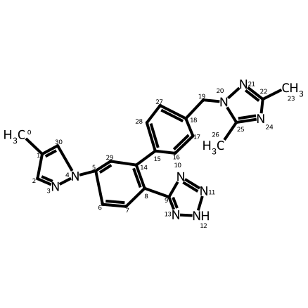 Cc1cnn(-c2ccc(-c3nn[nH]n3)c(-c3ccc(Cn4nc(C)nc4C)cc3)c2)c1